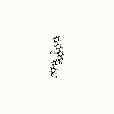 Cc1c(OC(=O)Nc2ccc(N3CCC(N4CCOCC4)CC3)c([N+](=O)[O-])c2)cnn1-c1ccc(C(F)(F)F)cc1